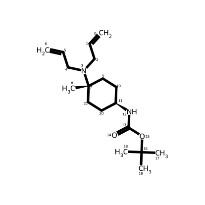 C=CCN(CC=C)[C@]1(C)CC[C@@H](NC(=O)OC(C)(C)C)CC1